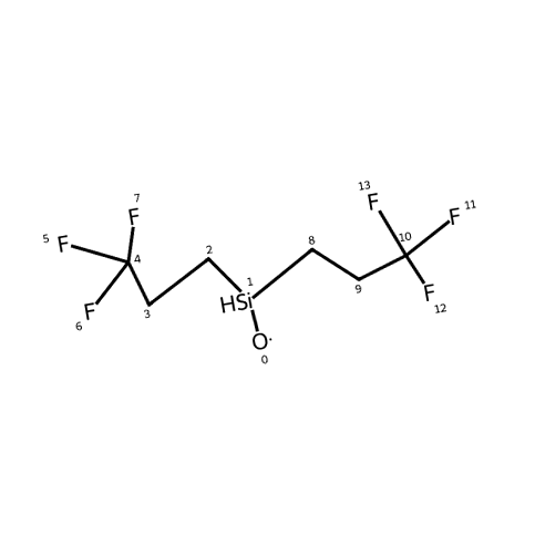 [O][SiH](CCC(F)(F)F)CCC(F)(F)F